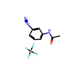 CC(=O)Nc1cccc([N+]#N)c1.F[B-](F)(F)F